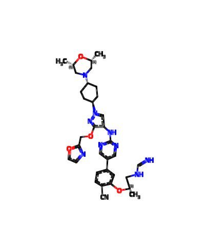 C[C@@H]1CN([C@H]2CC[C@H](n3cc(Nc4ncc(-c5ccc(C#N)c(O[C@@H](C)CNC=N)c5)cn4)c(OCc4ncco4)n3)CC2)C[C@H](C)O1